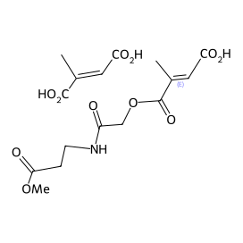 CC(=CC(=O)O)C(=O)O.COC(=O)CCNC(=O)COC(=O)/C(C)=C/C(=O)O